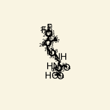 C[C@@H]1NC(CCNC2CCN(CC3CC(C4CC4)C(C4=CC[C@H](F)[C@H](F)C4)=C[C@@H]3C)CC2)=C(C=O)C[C@@H]1C(=O)O